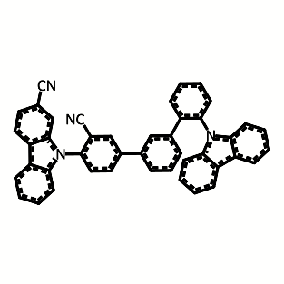 N#Cc1ccc2c3ccccc3n(-c3ccc(-c4cccc(-c5ccccc5-n5c6ccccc6c6ccccc65)c4)cc3C#N)c2c1